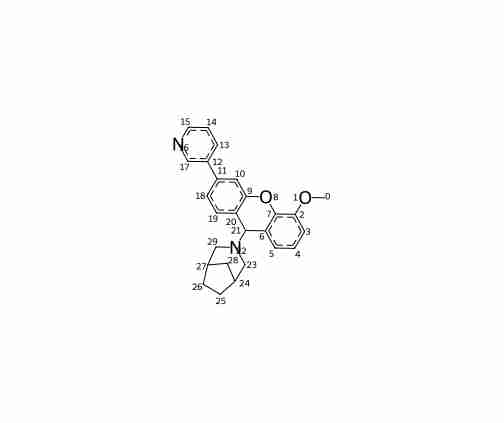 COc1cccc2c1Oc1cc(-c3cccnc3)ccc1C2N1CC2CCC(C2)C1